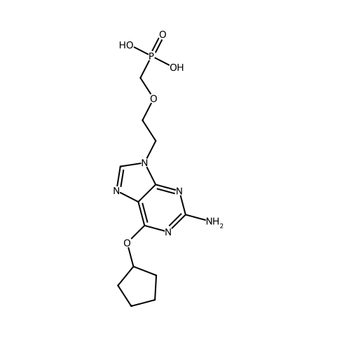 Nc1nc(OC2CCCC2)c2ncn(CCOCP(=O)(O)O)c2n1